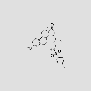 CCC(CCNS(=O)(=O)c1ccc(C)cc1)C1CC(=O)[C@@]2(C)CCC3c4ccc(OC)cc4CCC3C12